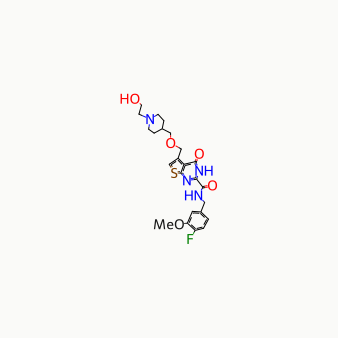 COc1cc(CNC(=O)c2nc3scc(COCC4CCN(CCO)CC4)c3c(=O)[nH]2)ccc1F